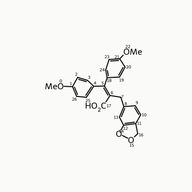 COc1ccc(C(=C(Cc2ccc3c(c2)OOC3)C(=O)O)c2ccc(OC)cc2)cc1